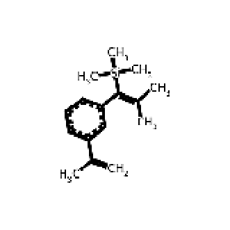 C=C(C)c1cccc(C(=C(C)C)[Si](C)(C)C)c1